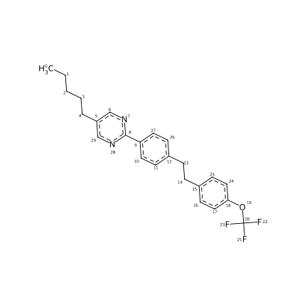 CCCCCc1cnc(-c2ccc(CCc3ccc(OC(F)(F)F)cc3)cc2)nc1